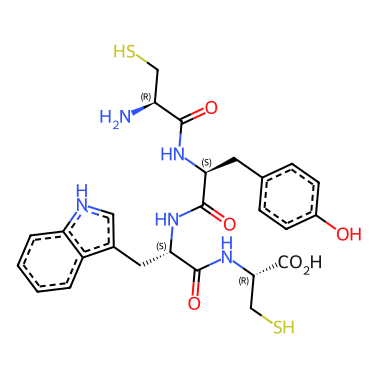 N[C@@H](CS)C(=O)N[C@@H](Cc1ccc(O)cc1)C(=O)N[C@@H](Cc1c[nH]c2ccccc12)C(=O)N[C@@H](CS)C(=O)O